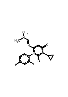 CN(C)/C=N/c1cc(=O)n(C2CC2)c(=O)n1-c1ccc(I)cc1F